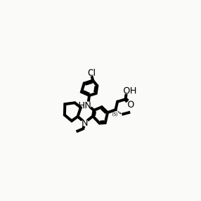 CC[C@@H](CC(=O)O)c1ccc(N(CC)C2CCCCC2)c(Nc2ccc(Cl)cc2)c1